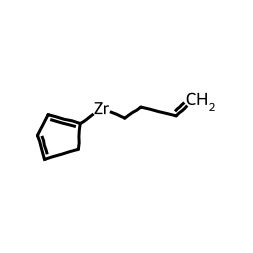 C=CC[CH2][Zr][C]1=CC=CC1